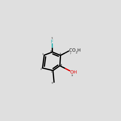 Cc1ccc(F)c(C(=O)O)c1O